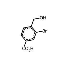 O=C(O)c1ccc(CO)c(Br)c1